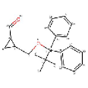 CC(C)(C)[Si](OCC1CC1C=O)(c1ccccc1)c1ccccc1